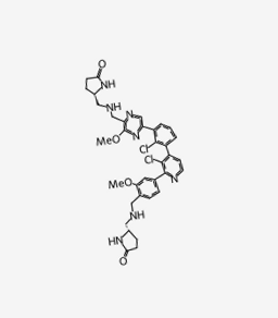 COc1cc(-c2nccc(-c3cccc(-c4cnc(CNC[C@H]5CCC(=O)N5)c(OC)n4)c3Cl)c2Cl)ccc1CNC[C@@H]1CCC(=O)N1